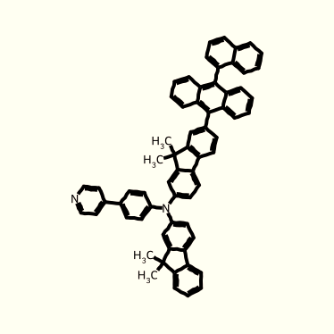 CC1(C)c2ccccc2-c2ccc(N(c3ccc(-c4ccncc4)cc3)c3ccc4c(c3)C(C)(C)c3cc(-c5c6ccccc6c(-c6cccc7ccccc67)c6ccccc56)ccc3-4)cc21